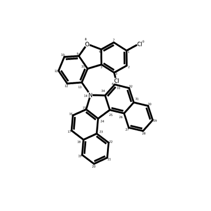 Clc1cc(Cl)c2c(c1)oc1cccc(-n3c4ccc5ccccc5c4c4c5ccccc5ccc43)c12